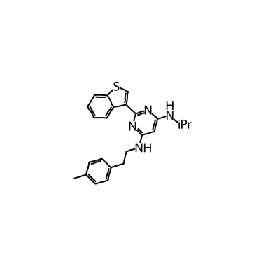 Cc1ccc(CCNc2cc(NC(C)C)nc(-c3csc4ccccc34)n2)cc1